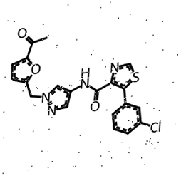 CC(=O)c1ccc(Cn2cc(NC(=O)c3ncsc3-c3cccc(Cl)c3)cn2)o1